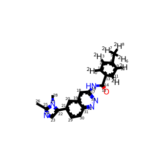 [2H]c1c([2H])c(C([2H])([2H])[2H])c([2H])c([2H])c1C(=O)Nc1cc2cc(-c3cnc(C)n3C)ccc2nn1